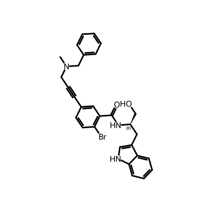 CN(CC#Cc1ccc(Br)c(C(=O)N[C@@H](CO)Cc2c[nH]c3ccccc23)c1)Cc1ccccc1